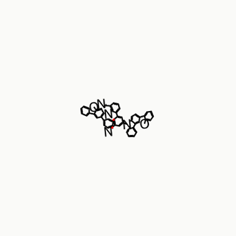 N#Cc1cc(-c2cccc(C#N)c2-n2c3ccccc3c3cc4c(cc32)oc2ccccc24)cc(-n2c3ccccc3c3c4oc5ccccc5c4ccc32)c1